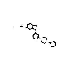 CC(C)Oc1ccc2cnn(-c3ccnc(N4CCN(c5ncccn5)CC4)c3)c2c1